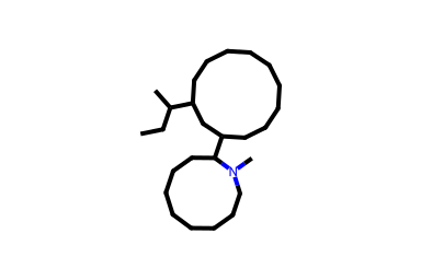 CCC(C)C1CCCCCCCCCC(C2CCCCCCCCN2C)C1